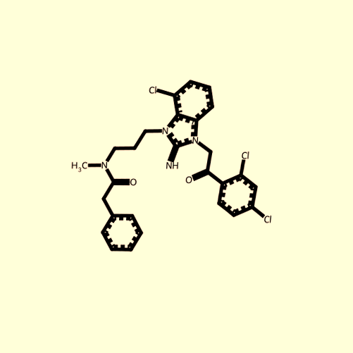 CN(CCCn1c(=N)n(CC(=O)c2ccc(Cl)cc2Cl)c2cccc(Cl)c21)C(=O)Cc1ccccc1